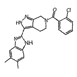 Cc1cc2nc(-c3[nH]nc4c3CCN(C(=O)c3ccccc3Cl)C4)[nH]c2cc1C